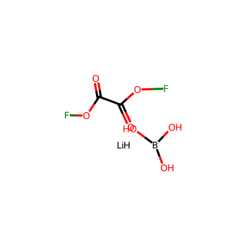 O=C(OF)C(=O)OF.OB(O)O.[LiH]